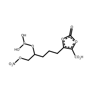 O=C(O)c1oc(=O)oc1CCCC(CO[N+](=O)[O-])ON(O)O